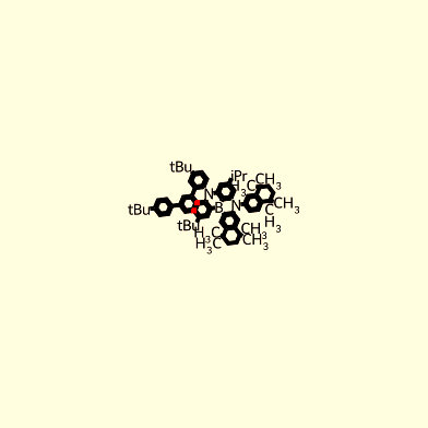 CC(C)c1cc2c3c(c1)N(c1ccc(C(C)(C)C)cc1-c1cccc(-c4ccc(C(C)(C)C)cc4)c1)c1ccc(C(C)(C)C)cc1B3c1cc3c(cc1N2c1ccc2c(c1)C(C)(C)CCC2(C)C)C(C)(C)CCC3(C)C